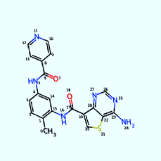 Cc1ccc(NC(=O)c2ccncc2)cc1NC(=O)c1csc2c(N)ncnc12